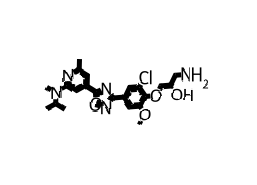 COc1cc(-c2noc(-c3cc(C)nc(N(C)C(C)C)c3)n2)cc(Cl)c1OC[C@H](O)CN